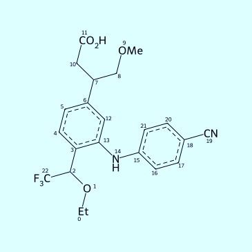 CCOC(c1ccc(C(COC)CC(=O)O)cc1Nc1ccc(C#N)cc1)C(F)(F)F